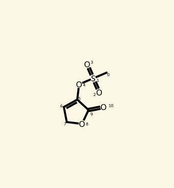 CS(=O)(=O)OC1=CCOC1=O